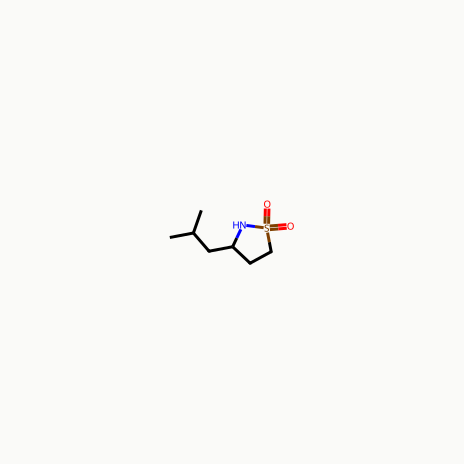 CC(C)CC1CCS(=O)(=O)N1